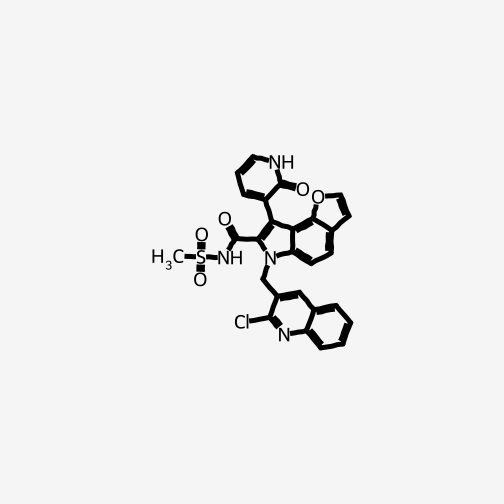 CS(=O)(=O)NC(=O)c1c(-c2ccc[nH]c2=O)c2c3occc3ccc2n1Cc1cc2ccccc2nc1Cl